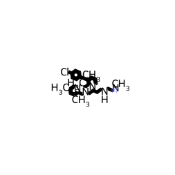 C/N=C\CNCCCCN(Cc1ncc(C)cc1C)Cc1ncccc1C(C)(C)c1ccc(Cl)cc1